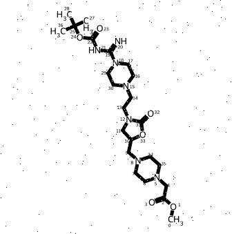 COC(=O)CN1CCN(CC2CN(CCN3CCN(C(=N)NC(=O)OC(C)(C)C)CC3)C(=O)O2)CC1